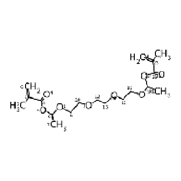 C=C(C)C(=O)OC(C)OCCOCCOCCOC(C)OC(=O)C(=C)C